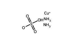 N.N.O=S(=O)([O-])O.[Cu+]